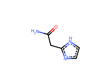 NC(=O)Cc1ncc[nH]1